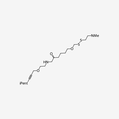 CCCC(C)C#CCOCCNCC(=O)CCCCOCSSCCNC